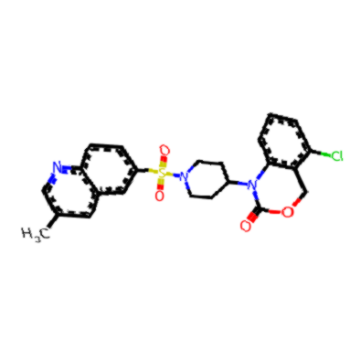 Cc1cnc2ccc(S(=O)(=O)N3CCC(N4C(=O)OCc5c(Cl)cccc54)CC3)cc2c1